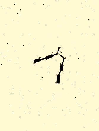 C#CC#CCP(C)C#CC#C